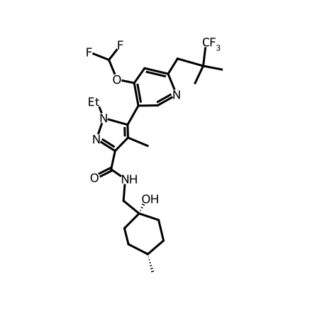 CCn1nc(C(=O)NC[C@]2(O)CC[C@@H](C)CC2)c(C)c1-c1cnc(CC(C)(C)C(F)(F)F)cc1OC(F)F